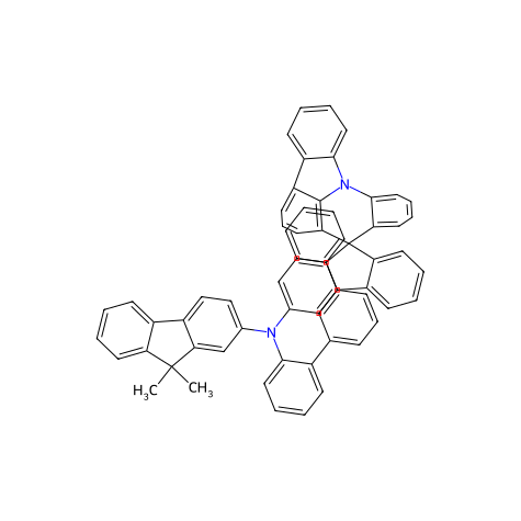 CC1(C)c2ccccc2-c2ccc(N(c3ccc4c(c3)-c3ccccc3C43c4ccccc4-n4c5ccccc5c5cccc3c54)c3ccccc3-c3cccc(-c4ccccc4)c3)cc21